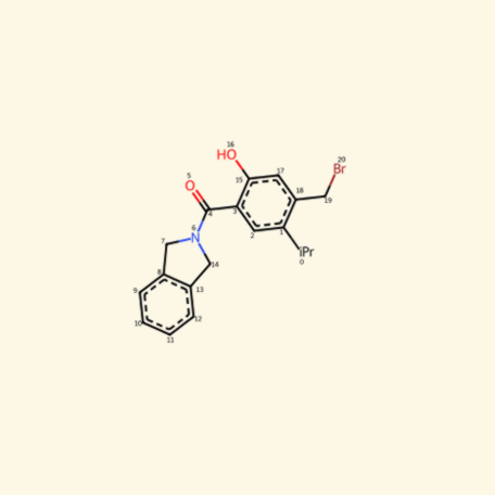 CC(C)c1cc(C(=O)N2Cc3ccccc3C2)c(O)cc1CBr